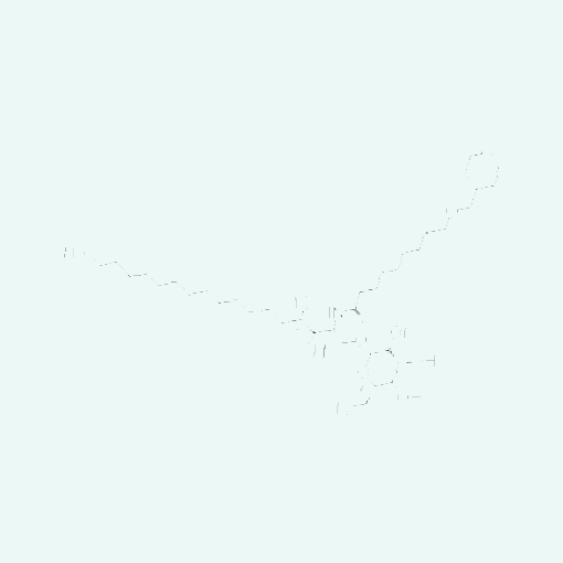 CCCCCCCCCCCCCC[C@@H](O)[C@@H](O)[C@H](CO[C@H]1O[C@H](CO)[C@H](O)[C@H](O)[C@H]1O)NC(=O)CCCCCCCCOCC1CCOCC1